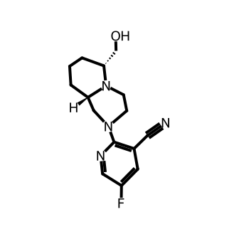 N#Cc1cc(F)cnc1N1CCN2[C@@H](CO)CCC[C@H]2C1